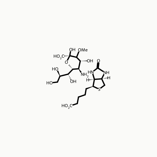 COC1[C@H](O)[C@@H](N)[C@H]([C@H](O)[C@H](O)CO)O[C@]1(O)C(=O)O.O=C(O)CCCC[C@@H]1SC[C@@H]2NC(=O)N[C@@H]21